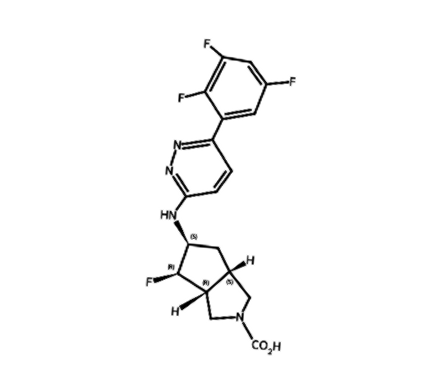 O=C(O)N1C[C@H]2C[C@H](Nc3ccc(-c4cc(F)cc(F)c4F)nn3)[C@H](F)[C@H]2C1